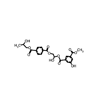 COC(=O)c1cc(O)cc(C(=O)OC(O)COC(=O)c2ccc(C(=O)OCC(C)O)cc2)c1